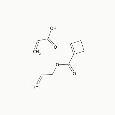 C=CC(=O)O.C=CCOC(=O)C1=CCC1